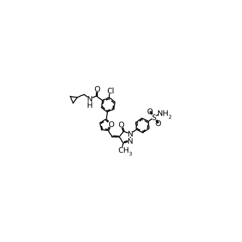 CC1=NN(c2ccc(S(N)(=O)=O)cc2)C(=O)/C1=C\c1ccc(-c2ccc(Cl)c(C(=O)NCC3CC3)c2)o1